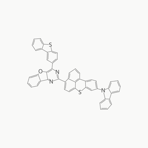 c1ccc2c(c1)oc1c(-c3ccc4sc5ccccc5c4c3)nc(-c3ccc4c5c(cccc35)-c3ccc(-n5c6ccccc6c6ccccc65)cc3S4)nc12